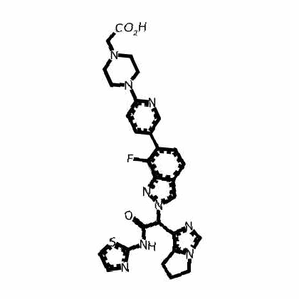 O=C(O)CN1CCN(c2ccc(-c3ccc4cn(C(C(=O)Nc5nccs5)c5ncn6c5CCC6)nc4c3F)cn2)CC1